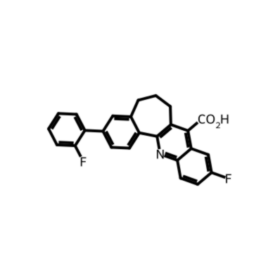 O=C(O)c1c2c(nc3ccc(F)cc13)-c1ccc(-c3ccccc3F)cc1CCC2